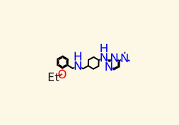 CCOc1ccccc1CNCC1CCC(Nc2nccc(N(C)C)n2)CC1